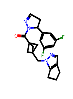 O=C(N1N=CCC1c1cc(F)cc(F)c1)C12CC(Cn3ncc4c3CCC4)(C1)C2